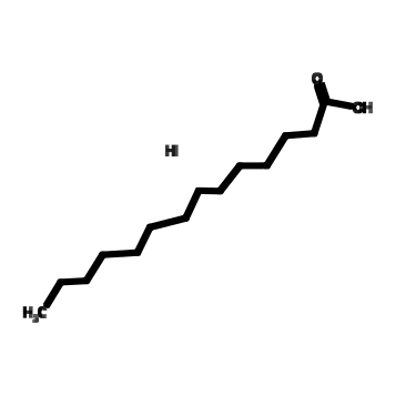 CCCCCCCCCCCCCC(=O)O.I